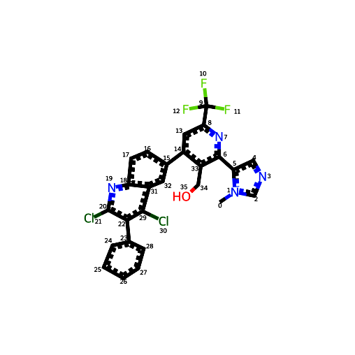 Cn1cncc1-c1nc(C(F)(F)F)cc(-c2ccc3nc(Cl)c(-c4ccccc4)c(Cl)c3c2)c1CO